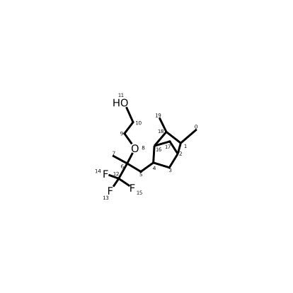 CC1C2CC(CC(C)(OCCO)C(F)(F)F)C(C2)C1C